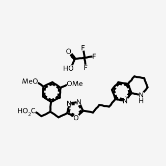 COc1cc(OC)cc(C(CC(=O)O)Cc2nnc(CCCc3ccc4c(n3)NCCC4)o2)c1.O=C(O)C(F)(F)F